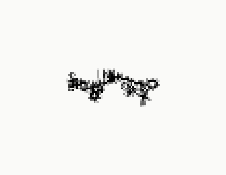 CC(C)(C)OC(=O)N(CCCN(C(=O)OC(C)(C)C)C1CCCCC1)CCCn1cc(CNc2nc(N3CCN(C(=O)C(C)(C)C)CC3)c3ccccc3n2)nn1